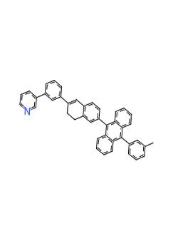 Cc1cccc(-c2c3ccccc3c(-c3ccc4c(c3)CCC(c3cccc(-c5cccnc5)c3)=C4)c3ccccc23)c1